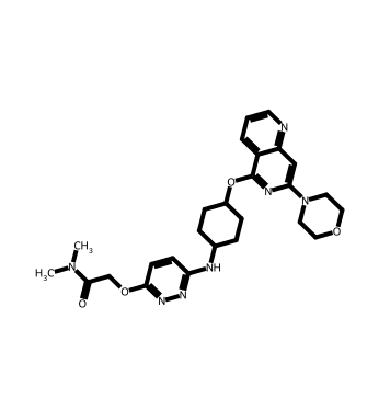 CN(C)C(=O)COc1ccc(NC2CCC(Oc3nc(N4CCOCC4)cc4ncccc34)CC2)nn1